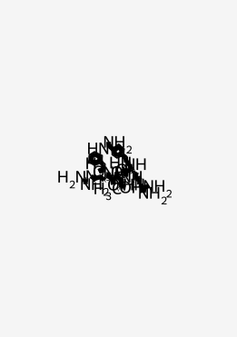 C[C@@H](O)[C@H](NC(=O)[C@H](CCCNC(N)N)NNCc1ccc(C(=N)N)cc1)C(=O)C(=O)[C@H](CCCNC(N)N)NC(=O)Cc1ccccc1